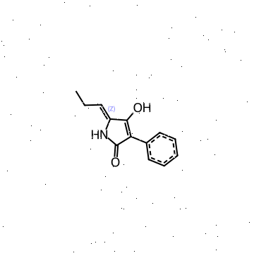 CC/C=C1\NC(=O)C(c2ccccc2)=C1O